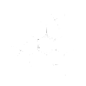 O=c1n(C(Br)C(Br)(Br)Br)c(=O)n(C(Br)C(Br)(Br)Br)c(=O)n1C(Br)C(Br)(Br)Br